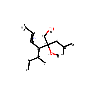 B/C=C/C(C(C)CC)C(CO)(CC(C)C)OC